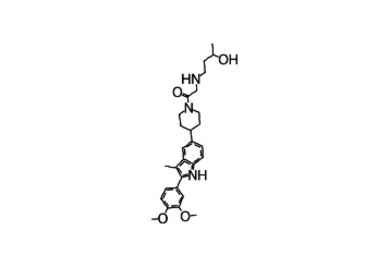 COc1ccc(-c2[nH]c3ccc(C4CCN(C(=O)CNCCC(C)O)CC4)cc3c2C)cc1OC